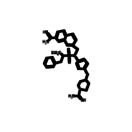 CCOC(=O)C(Cc1ccccc1)S(=O)(=O)N(Cc1ccc2ccc(C(=N)N)cc2c1)c1ccc(OC2CCN(C(C)=N)CC2)cc1